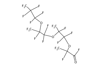 O=C(F)C(F)(OC(F)(F)C(F)(OC(F)(F)C(F)(OC(F)(F)C(F)(F)C(F)(F)F)C(F)(F)F)C(F)(F)F)C(F)(F)F